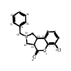 O=C1Oc2c(Cl)cccc2C2CN(Cc3ccccc3)CC12